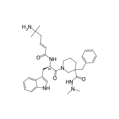 CN(C)NC(=O)C1(Cc2ccccc2)CCCN(C(=O)[C@@H](Cc2c[nH]c3ccccc23)NC(=O)C=CCC(C)(C)N)C1